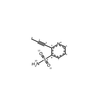 CC#Cc1ncccc1S(N)(=O)=O